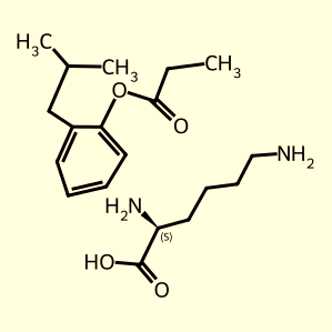 CCC(=O)Oc1ccccc1CC(C)C.NCCCC[C@H](N)C(=O)O